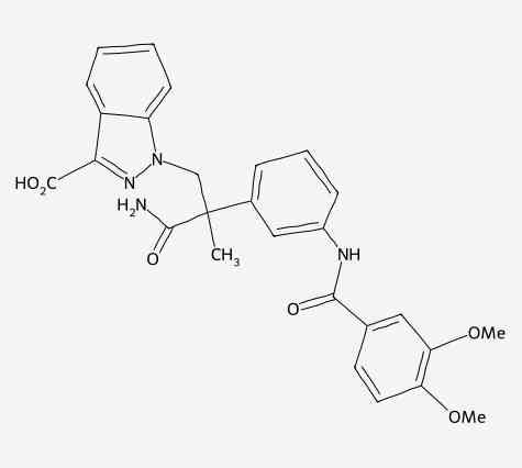 COc1ccc(C(=O)Nc2cccc(C(C)(Cn3nc(C(=O)O)c4ccccc43)C(N)=O)c2)cc1OC